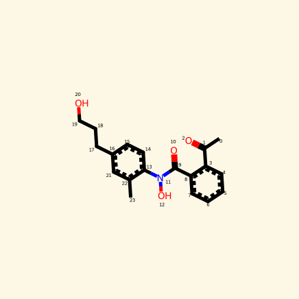 CC(=O)c1ccccc1C(=O)N(O)c1ccc(CCCO)cc1C